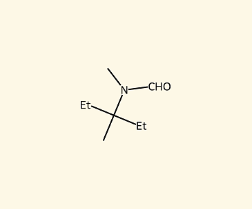 CCC(C)(CC)N(C)C=O